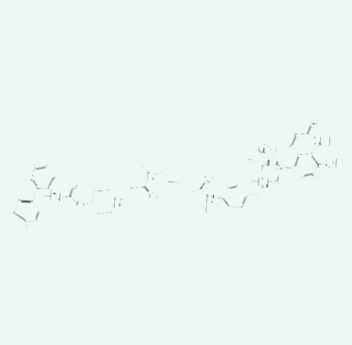 Cc1cc(NC(=O)CCCCN(C)C(=O)CCN2CCC(OC(=O)Nc3ccccc3-c3ccccc3)CC2)c(C)cc1CNC[C@@H](O[Si](C)(C)C(C)(C)C)c1ccc(O)c2[nH]c(=O)ccc12